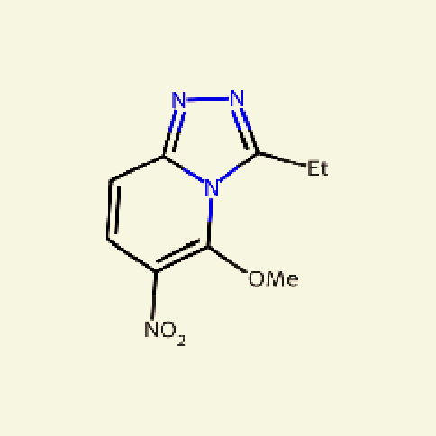 CCc1nnc2ccc([N+](=O)[O-])c(OC)n12